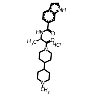 C[C@@H](NC(=O)c1ccc2cc[nH]c2c1)C(=O)N1CCC(C2CCN(C)CC2)CC1.Cl